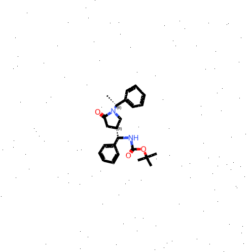 C[C@H](c1ccccc1)N1C[C@H](C(NC(=O)OC(C)(C)C)c2ccccc2)CC1=O